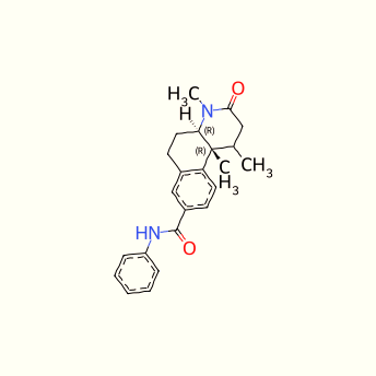 CC1CC(=O)N(C)[C@@H]2CCc3cc(C(=O)Nc4ccccc4)ccc3[C@@]12C